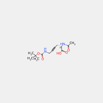 CC(=O)N[C@@H](CC#CCNC(=O)OC(C)(C)C)C(=O)O